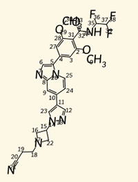 COc1cc(-c2cnc3cc(-c4cnn(C5CN(CCC#N)C5)c4)ccn23)cc(OC)c1C(=O)NC(F)C(F)F